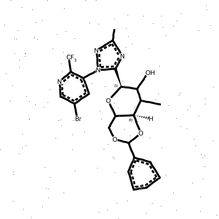 Cc1nc([C@@H]2OC3COC(c4ccccc4)O[C@@H]3C(C)C2O)n(-c2cc(Br)cnc2C(F)(F)F)n1